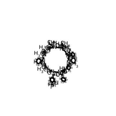 CC[C@H](C)[C@@H]1NC(=O)[C@H](CC(C)C)N(C)C(=O)C[C@@H](C(=O)N2CCCCC2)N(C)C(=O)[C@H](C2CCCCC2)N(C)C(=O)C2(CCCC2)NC(=O)[C@@H]2C[C@H](c3ccccc3)CN2C(=O)[C@H](CCc2ccc(C(F)(F)F)c(Cl)c2)NC(=O)CN(C)C(=O)[C@H](CC2CCCCC2)N(C)C(=O)CN(C)C(=O)CN(C)C1=O